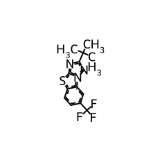 CC(C)(C)c1nc2sc3ccc(C(F)(F)F)cc3n2n1